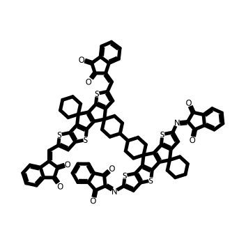 O=C1C(=O)c2ccccc2/C1=C/c1cc2c(s1)C1=C(c3sc4cc(/C=C5\C(=O)C(=O)c6ccccc65)sc4c3C13CCCCC3)C21CCC(C2CCC3(CC2)C2=C(c4sc5cc(N=c6c(=O)c7ccccc7c6=O)sc5c43)C3(CCCCC3)c3cc(N=c4c(=O)c5ccccc5c4=O)sc32)CC1